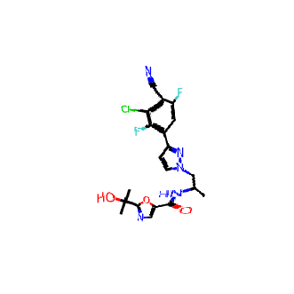 CC(Cn1ccc(-c2cc(F)c(C#N)c(Cl)c2F)n1)NC(=O)c1cnc(C(C)(C)O)o1